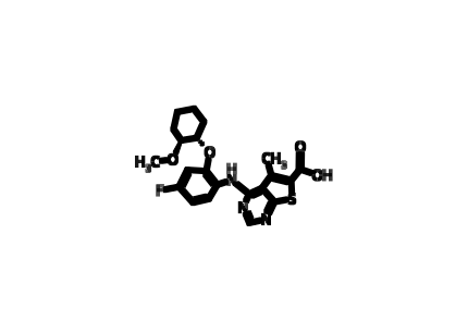 CO[C@H]1CCCC[C@@H]1Oc1cc(F)ccc1Nc1ncnc2sc(C(=O)O)c(C)c12